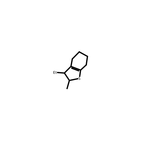 CCC1C2=C(CCCC2)SC1C